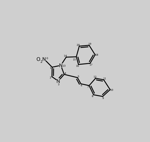 O=[N+]([O-])c1cnc(C=Cc2ccccc2)n1Cc1ccccc1